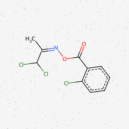 CC(=NOC(=O)c1ccccc1Cl)C(Cl)Cl